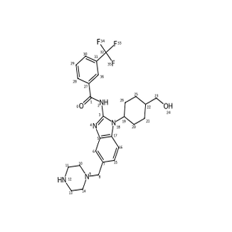 O=C(Nc1nc2cc(CN3CCNCC3)ccc2n1C1CCC(CO)CC1)c1cccc(C(F)(F)F)c1